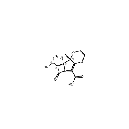 C[C@@H](O)[C@H]1C(=O)N2C(C(=O)O)=C3SCCO[C@H]3[C@H]12